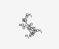 COCc1nnc(SCC2(C(=O)O)CS[C@@H]3C(NC(=O)C(=NOC)c4nsc(N)n4)C(=O)N3C2)s1